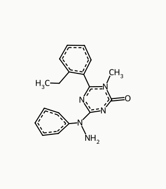 CCc1ccccc1-c1nc(N(N)c2ccccc2)nc(=O)n1C